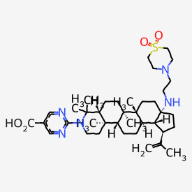 C=C(C)[C@@H]1CC[C@]2(NCCN3CCS(=O)(=O)CC3)CC[C@]3(C)[C@H](CC[C@@H]4[C@@]5(C)CCN(c6ncc(C(=O)O)cn6)C(C)(C)[C@@H]5CC[C@]43C)[C@@H]12